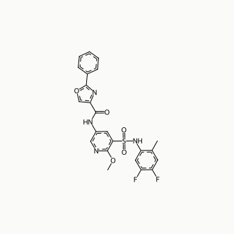 COc1ncc(NC(=O)c2coc(-c3ccccc3)n2)cc1S(=O)(=O)Nc1cc(F)c(F)cc1C